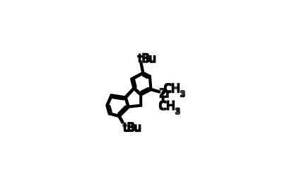 [CH3][Zr]([CH3])[c]1cc(C(C)(C)C)cc2c1Cc1c-2cccc1C(C)(C)C